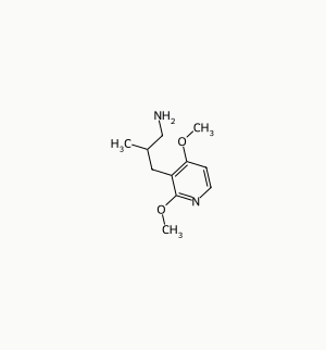 COc1ccnc(OC)c1CC(C)CN